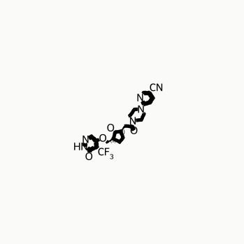 N#Cc1ccc(N2CCN(C(=O)C[C@H]3CC[C@@H](COc4cn[nH]c(=O)c4C(F)(F)F)C3=O)CC2)nc1